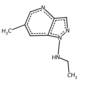 CCNn1ncc2ncc(C)cc21